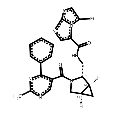 CCc1csc2ncc(C(=O)NC[C@@H]3[C@H]4C[C@H]4CN3C(=O)c3cnc(C)nc3-c3ccccc3)n12